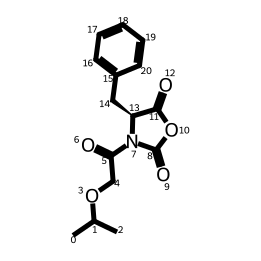 CC(C)OCC(=O)N1C(=O)OC(=O)[C@@H]1Cc1ccccc1